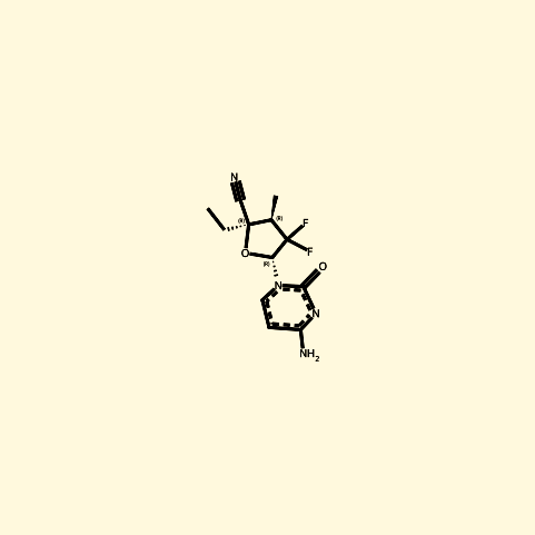 CC[C@@]1(C#N)O[C@@H](n2ccc(N)nc2=O)C(F)(F)[C@@H]1C